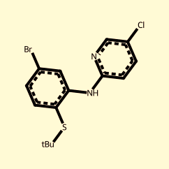 CC(C)(C)Sc1ccc(Br)cc1Nc1ccc(Cl)cn1